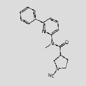 CN(C(=O)C1CCN(C#N)C1)c1cccc(-c2ccccc2)n1